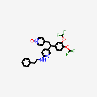 [O-][n+]1ccc(CC(c2ccc(NCCc3ccccc3)nc2)c2ccc(OC(F)F)c(OC(F)F)c2)cc1